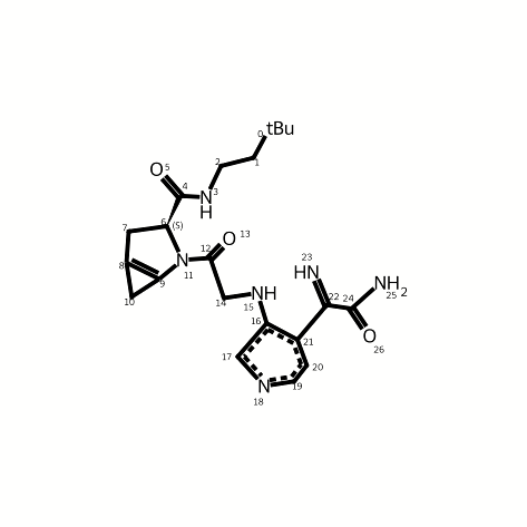 CC(C)(C)CCNC(=O)[C@@H]1CC2=C(C2)N1C(=O)CNc1cnccc1C(=N)C(N)=O